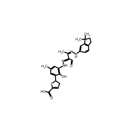 CC(=N/Nc1ccc2c(c1)C(C)(C)CC2)/C(C=O)=N/Nc1cc(C)cc(C2CC=C(C(=O)O)S2)c1O